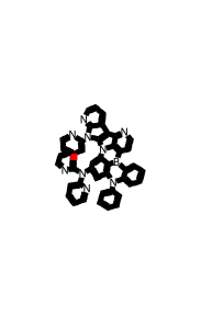 c1ccc(N2c3ccccc3B3c4c2cc(N(c2ccccn2)c2ccccn2)cc4-n2c4c3ccnc4c3c4cccnc4n(-c4ccccn4)c32)cc1